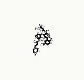 CN1CCN(CCC(=O)Nc2cc(Nc3cc(-c4cc(Cl)ccc4F)nnc3N(C)CCC(O)C(F)(F)F)ccn2)CC1